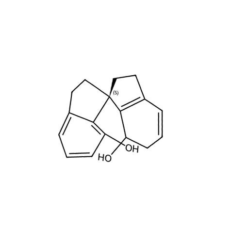 Oc1cccc2c1[C@]1(CCC3=C1C(O)CC=C3)CC2